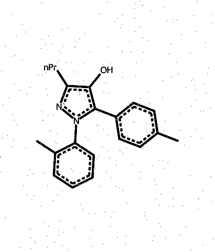 CCCc1nn(-c2ccccc2C)c(-c2ccc(C)cc2)c1O